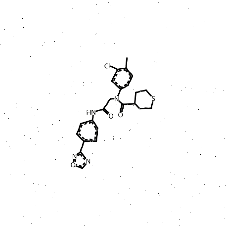 Cc1ccc(N(CC(=O)Nc2ccc(-c3ncon3)cc2)C(=O)C2CCSCC2)cc1Cl